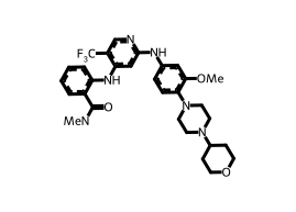 CNC(=O)c1ccccc1Nc1cc(Nc2ccc(N3CCN(C4CCOCC4)CC3)c(OC)c2)ncc1C(F)(F)F